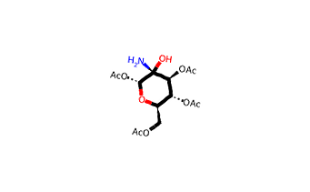 CC(=O)OC[C@H]1O[C@H](OC(C)=O)[C@](N)(O)[C@@H](OC(C)=O)[C@@H]1OC(C)=O